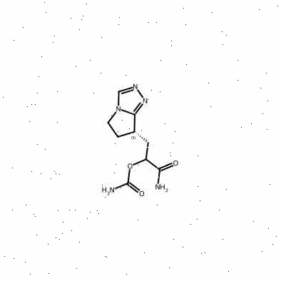 NC(=O)OC(C[C@@H]1CCn2cnnc21)C(N)=O